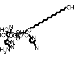 CCCCCCCCCCCCCCCCCCOCC(COP(=O)(O)OC[C@@]1(C#N)O[C@@H](c2ccc3c(N)ncnn23)[C@H](O)[C@@H]1O)OCc1ccc(C#N)cn1